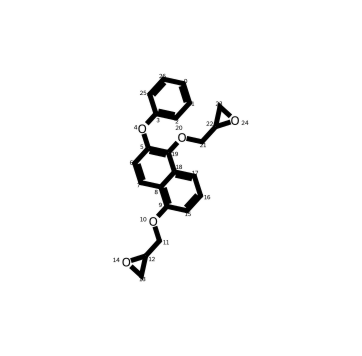 c1ccc(Oc2ccc3c(OCC4CO4)cccc3c2OCC2CO2)cc1